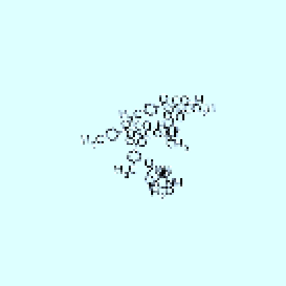 Cc1ccc(C(=O)O[C@H](C(=O)O)[C@H](OC(=O)c2ccc(C)cc2)C(=O)O)cc1.Cc1ccc(C(=O)O[C@H](C(=O)O)[C@H](OC(=O)c2ccc(C)cc2)C(=O)O)cc1.O.O=C1CO[C@H]2CCNC[C@H]2N1